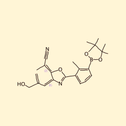 C=C(/C=c1/nc(-c2cccc(B3OC(C)(C)C(C)(C)O3)c2C)o/c1=C(/C)C#N)CO